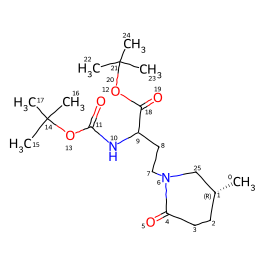 C[C@@H]1CCC(=O)N(CCC(NC(=O)OC(C)(C)C)C(=O)OC(C)(C)C)C1